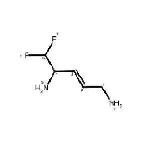 NC/C=C/C(N)C(F)F